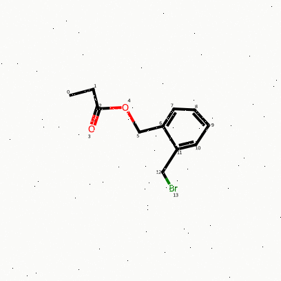 CCC(=O)OCc1ccccc1CBr